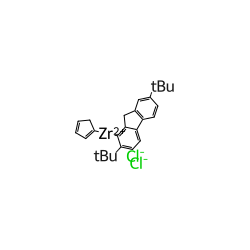 CC(C)(C)c1ccc2c(c1)Cc1c-2ccc(C(C)(C)C)[c]1[Zr+2][C]1=CC=CC1.[Cl-].[Cl-]